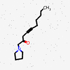 CCCCCC#CCC(=O)CN1CCCC1